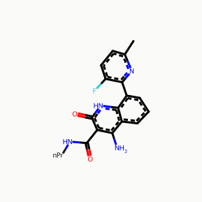 CCCNC(=O)c1c(N)c2cccc(-c3nc(C)ccc3F)c2[nH]c1=O